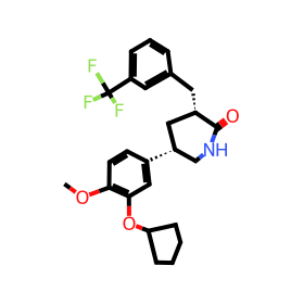 COc1ccc([C@H]2CNC(=O)[C@@H](Cc3cccc(C(F)(F)F)c3)C2)cc1OC1CCCC1